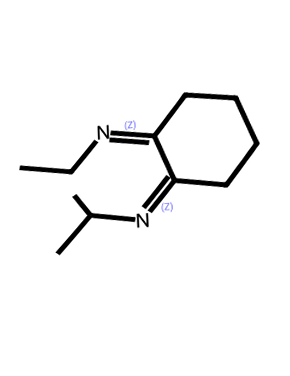 CC/N=C1/CCCC/C1=N/C(C)C